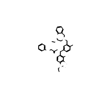 CC[C@@H]1CN(Cc2cc([C@H](CC(=O)COc3ccccc3)c3ccc4c(nnn4CC)c3Cl)ccc2C)Cc2ccccc2O1